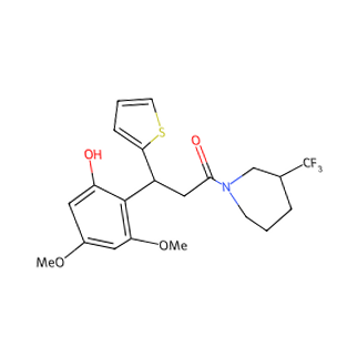 COc1cc(O)c(C(CC(=O)N2CCCC(C(F)(F)F)C2)c2cccs2)c(OC)c1